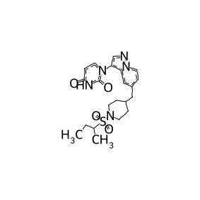 CCC(C)S(=O)(=O)N1CCC(Cc2ccn3ncc(-n4ccc(=O)[nH]c4=O)c3c2)CC1